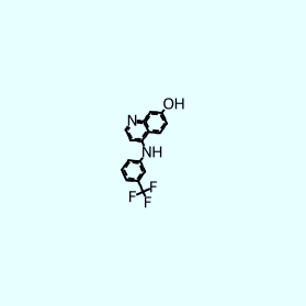 Oc1ccc2c(Nc3cccc(C(F)(F)F)c3)ccnc2c1